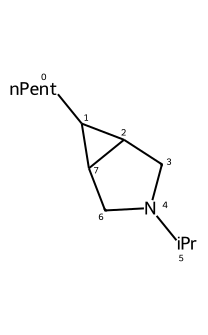 CCCCCC1C2CN(C(C)C)CC12